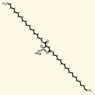 CCCCCCCCCCCCCCCCCCOC(=O)CC(C(=O)OCCCCCCCCCCCCCCCCCC)S(=O)(=O)O.[NaH]